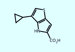 O=C(O)c1cc2scc(C3CC3)c2[nH]1